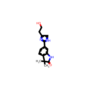 CC1(C)C(=O)Nc2cc(-c3nc(CCO)c[nH]3)ccc21